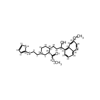 COC(=O)[C@H]1CN(CCSc2cccs2)CC[C@H]1CCC(O)c1cccc2ncc(OC)cc12